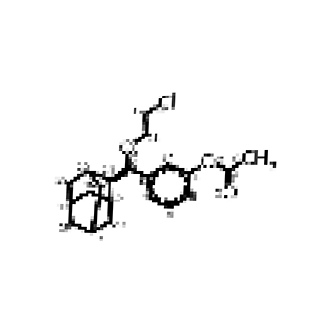 CC(=O)Oc1cccc(C(OCCCl)=C2C3CC4CC(C3)CC2C4)c1